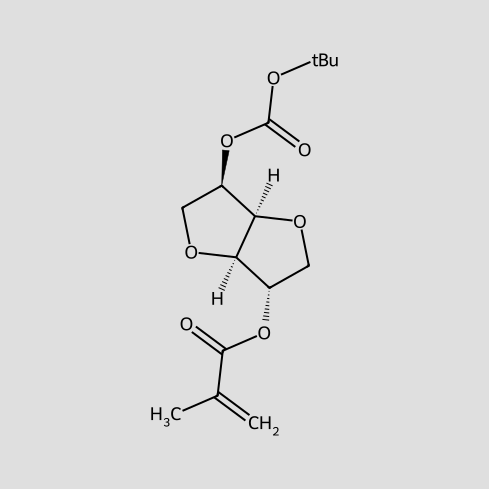 C=C(C)C(=O)O[C@H]1CO[C@H]2[C@@H]1OC[C@H]2OC(=O)OC(C)(C)C